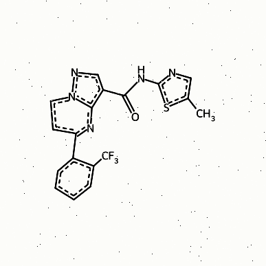 Cc1cnc(NC(=O)c2cnn3ccc(-c4ccccc4C(F)(F)F)nc23)s1